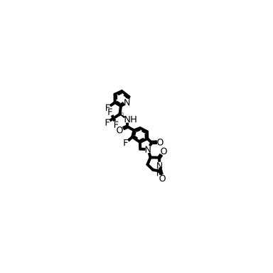 O=C1CCC(N2Cc3c(ccc(C(=O)N[C@H](c4ncccc4F)C(F)(F)F)c3F)C2=O)C(=O)N1